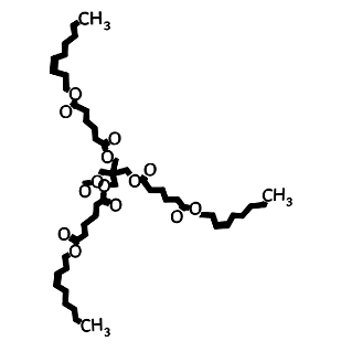 CCCCC/C=C\CCOC(=O)CCCCC(=O)OCC(COC=O)(COC(=O)CCCCC(=O)OCC/C=C\CCCCC)COC(=O)CCCCC(=O)OCC/C=C\CCCCC